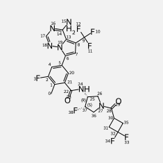 Cc1c(F)cc(-c2cc(C(F)(F)F)c3c(N)ncnn23)cc1C(=O)N[C@@H]1CN(C(=O)C2CC(F)(F)C2)C[C@@H]1F